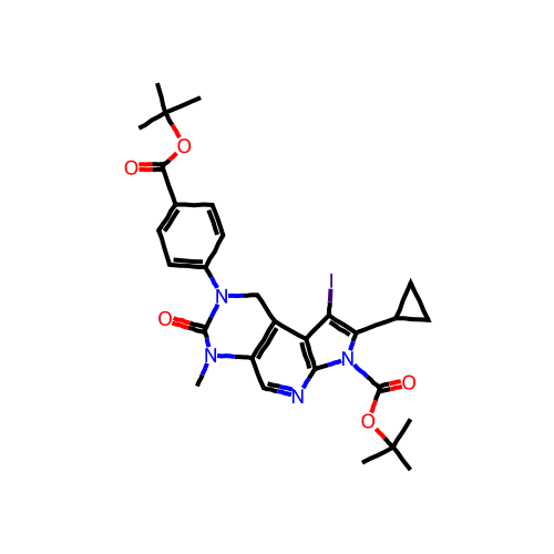 CN1C(=O)N(c2ccc(C(=O)OC(C)(C)C)cc2)Cc2c1cnc1c2c(I)c(C2CC2)n1C(=O)OC(C)(C)C